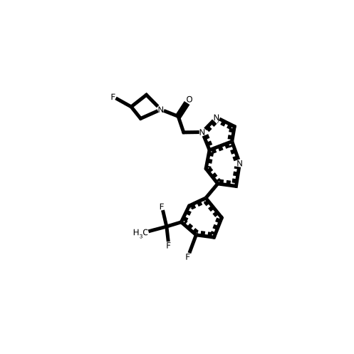 CC(F)(F)c1cc(-c2cnc3cnn(CC(=O)N4CC(F)C4)c3c2)ccc1F